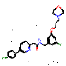 O=C(Cc1ccc(-c2ccc(Cl)cc2)cn1)NCc1cc(F)cc(OCCCN2CCOCC2)c1